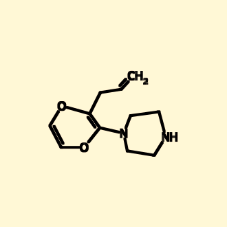 C=CCC1=C(N2CCNCC2)OC=CO1